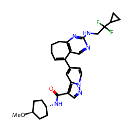 CO[C@H]1CC[C@H](NC(=O)c2cnn3ccc(C4=CCCCc5nc(NCC(F)(F)C6CC6)ncc54)cc23)CC1